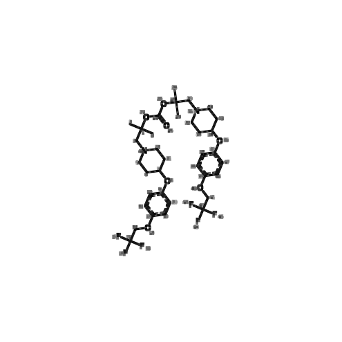 CC(C)(CN1CCC(Oc2ccc(OCC(F)(F)F)cc2)CC1)OC(=O)OC(C)(C)CN1CCC(Oc2ccc(OCC(F)(F)F)cc2)CC1